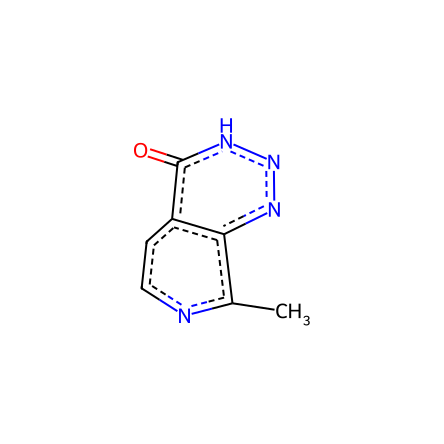 Cc1nccc2c(=O)[nH]nnc12